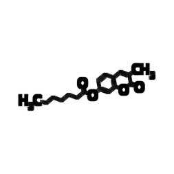 CCCCCCC(=O)Oc1ccc2cc(C)c(=O)oc2c1